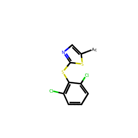 CC(=O)c1cnc(Sc2c(Cl)cccc2Cl)s1